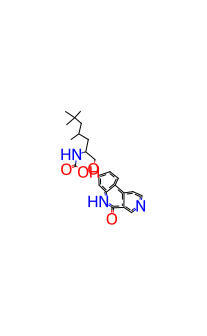 CC(CC(COc1ccc2c(c1)[nH]c(=O)c1cnccc12)NC(=O)O)CC(C)(C)C